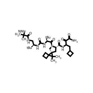 CNC(C)(C)C(=O)NC[C@@H](NC(=O)N[C@H](C(=O)N1C[C@]2(C[C@H]1C(=O)NC(CC1CCC1)C(=O)C(N)=O)C(C)(C)C21CCC1)C(C)(C)C)C(C)(C)C